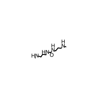 CNCCCNC(=O)NCCCNC